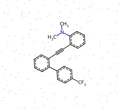 CN(C)c1ccccc1C#Cc1ccccc1-c1ccc(C(F)(F)F)cc1